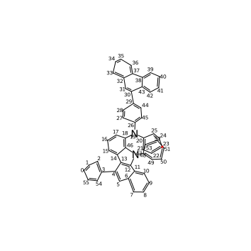 c1ccc(-c2cc3ccccc3c3c2c2cccc(N(c4ccccc4)c4ccc(-c5cc6ccccc6c6ccccc56)cc4)c2n3-c2ccccc2)cc1